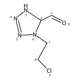 O=CC1NN=NN1CCCl